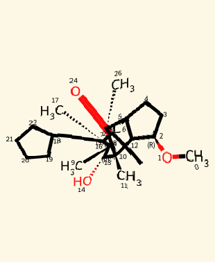 CO[C@@H]1CCC23CC[C@@H](C)[C@](C)(C12)[C@H](O)C[C@@](C)(C1CCCC1)C(=O)[C@@H]3C